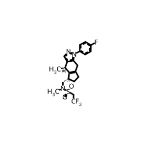 C[C@@H]1C2=C(CC[C@@H]2CN(C)S(=O)(=O)CC(F)(F)F)Cc2c1cnn2-c1ccc(F)cc1